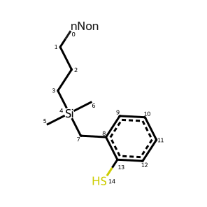 CCCCCCCCCCCC[Si](C)(C)Cc1ccccc1S